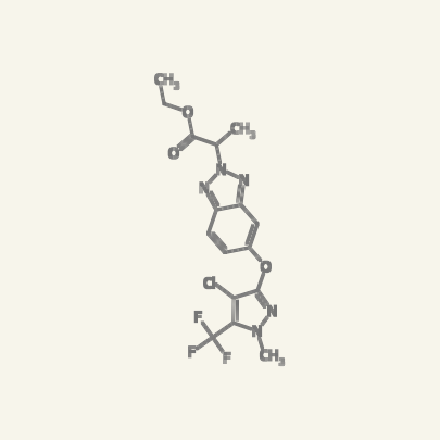 CCOC(=O)C(C)n1nc2ccc(Oc3nn(C)c(C(F)(F)F)c3Cl)cc2n1